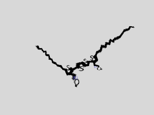 CCCCCCCCCCCCCCc1cc(/C=C/OC)c(-c2cc3sc(-c4sc(CCCCCCCCCCCCCC)cc4/C=C/OC)cc3s2)s1